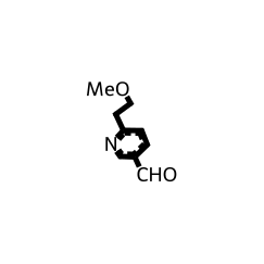 COCCc1ccc(C=O)cn1